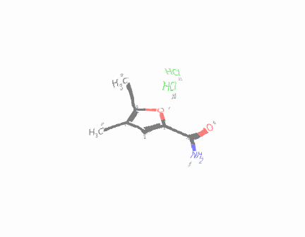 Cc1cc(C(N)=O)oc1C.Cl.Cl